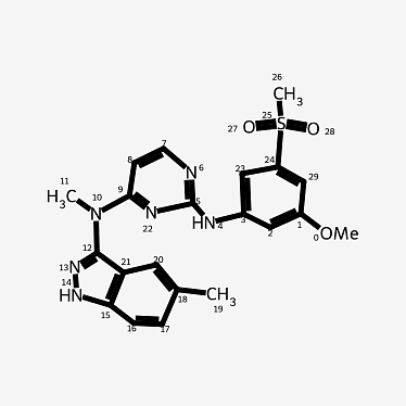 COc1cc(Nc2nccc(N(C)c3n[nH]c4ccc(C)cc34)n2)cc(S(C)(=O)=O)c1